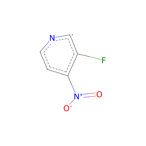 O=[N+]([O-])c1ccn[c]c1F